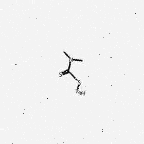 CN(C)C(=S)S[TeH]